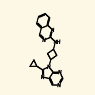 c1ccc2nc(NC3CC(n4c(C5CC5)nc5cncnc54)C3)ncc2c1